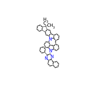 CC1(C)c2ccccc2-c2cc3c(cc21)c1cccc2c4cccc5c4c4c(cccc4n3c21)n5-c1nc2c(ccc3ccccc32)nc1-c1ccccc1